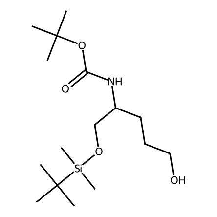 CC(C)(C)OC(=O)NC(CCCO)CO[Si](C)(C)C(C)(C)C